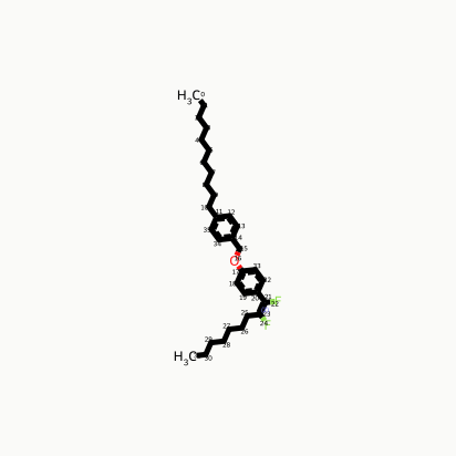 CCCCCCCCCCCc1ccc(COc2ccc(/C(F)=C(/F)CCCCCCC)cc2)cc1